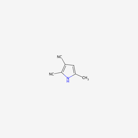 Cc1cc(C#N)c(C#N)[nH]1